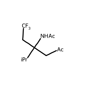 CC(=O)CC(CC(F)(F)F)(NC(C)=O)C(C)C